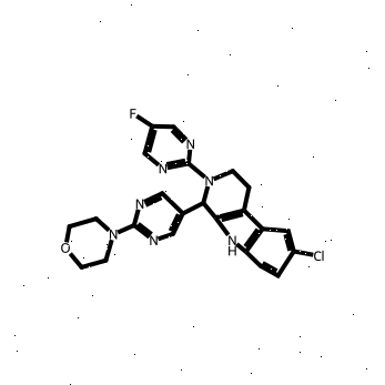 Fc1cnc(N2CCc3c([nH]c4ccc(Cl)cc34)C2c2cnc(N3CCOCC3)nc2)nc1